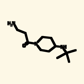 CC(C)(C)NC1CCN(C(=O)CCN)CC1